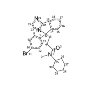 CN(C(=O)CCC1(c2ccc(Br)cc2)c2ccccc2-c2nccn21)C1CCCCC1